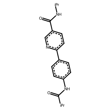 CC(C)NC(=O)c1ccc(-c2ccc(NC(=O)C(C)C)cc2)nc1